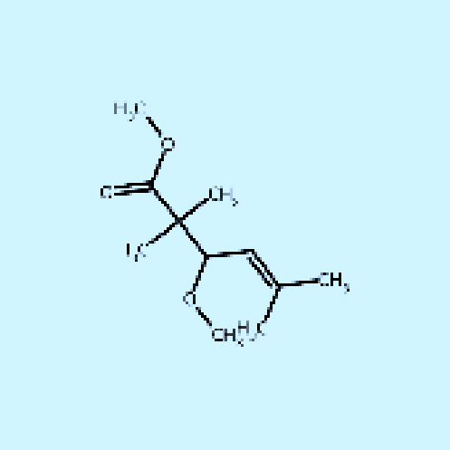 COC(=O)C(C)(C)C(C=C(C)C)OC